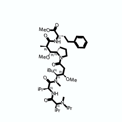 CC[C@H](C)[C@@H]([C@@H](CC(=O)N1CCC[C@H]1[C@H](OC)[C@@H](C)C(=O)N[C@@H](CCc1ccccc1)C(=O)OC)OC)N(C)C(=O)[C@@H](NC(=O)[C@H](C(C)C)N(C)C(C)C)C(C)C